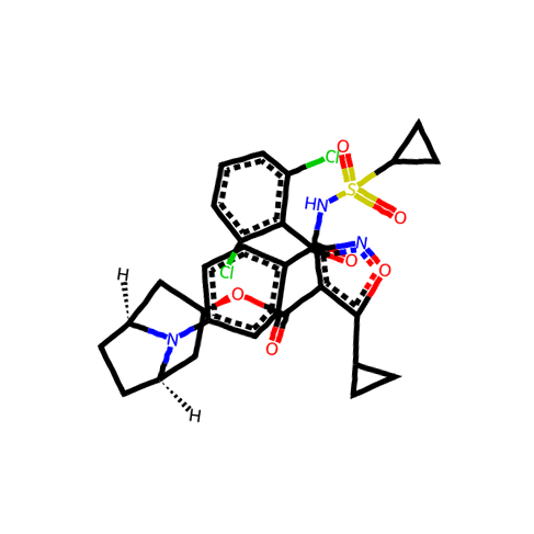 O=C(NS(=O)(=O)C1CC1)c1ccc(N2[C@@H]3CC[C@H]2C[C@@H](OC(=O)c2c(-c4c(Cl)cccc4Cl)noc2C2CC2)C3)cc1